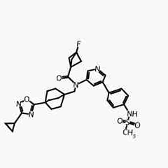 CS(=O)(=O)Nc1ccc(-c2cncc(N(CC34CCC(c5nc(C6CC6)no5)(CC3)CC4)C(=O)C34CC(F)(C3)C4)c2)cc1